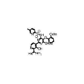 COc1ccccc1Oc1c(NS(=O)(=O)c2ccc(C)cn2)nc(-c2ccnc(C(=N)N)c2O)nc1OC